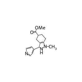 COC(=O)C1CCC2=C(C1)C(c1ccncc1)NN2C